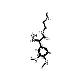 COCCOC(=O)/C(=N\O)c1ccc(OC)c(OC)c1